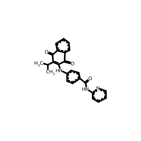 CC(C)C1=C(Nc2ccc(C(=O)Nc3ccccn3)cc2)C(=O)c2ccccc2C1=O